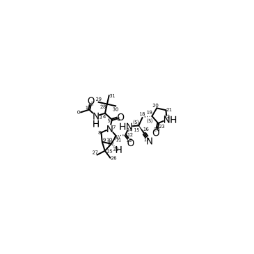 CC(=O)NC(C(=O)N1CC2[C@@H]([C@H]1C(=O)N[C@H](C#N)C[C@@H]1CCNC1=O)C2(C)C)C(C)(C)C